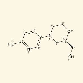 OC[C@H]1CN(c2ccc(C(F)(F)F)nc2)CCO1